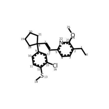 CCc1ccc(/C=C/C2(c3ccc(SC)c(Cl)c3)CCCC2)nc1OC